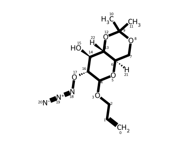 C=CCOC1O[C@@H]2COC(C)(C)O[C@H]2[C@H](O)[C@H]1ON=[N+]=[N-]